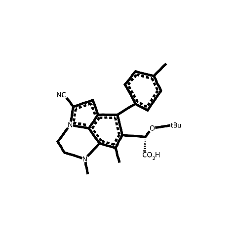 Cc1ccc(-c2c([C@H](OC(C)(C)C)C(=O)O)c(C)c3c4c2cc(C#N)n4CCN3C)cc1